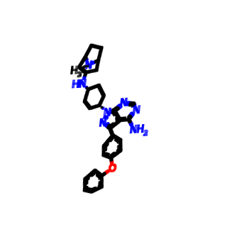 CN1C2CCC1CC(N[C@H]1CC[C@@H](n3nc(-c4ccc(Oc5ccccc5)cc4)c4c(N)ncnc43)CC1)C2